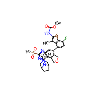 CCS(=O)(=O)c1nc(N2C3CCC2CN(C(=O)O)C3)c2c3c(c(-c4ccc(F)c5sc(NC(=O)OC(C)(C)C)c(C#N)c45)cc2n1)COC3